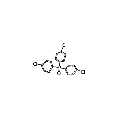 O=P(c1ccc(Cl)cc1)(c1ccc(Cl)cc1)c1ccc(Cl)cc1